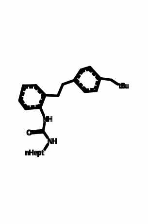 CCCCCCCNC(=O)Nc1ccccc1CCc1ccc(CC(C)(C)C)cc1